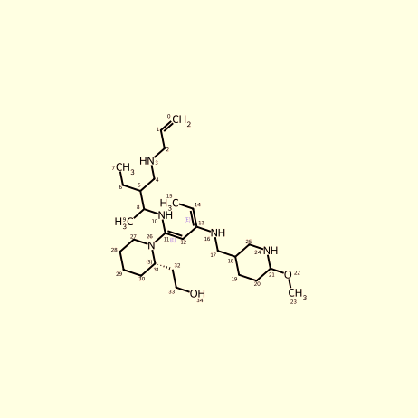 C=CCNCC(CC)C(C)N/C(=C\C(=C/C)NCC1CCC(OC)NC1)N1CCCC[C@H]1CCO